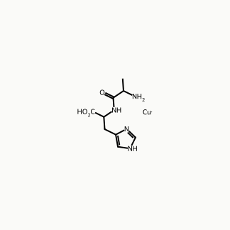 CC(N)C(=O)NC(Cc1c[nH]cn1)C(=O)O.[Cu]